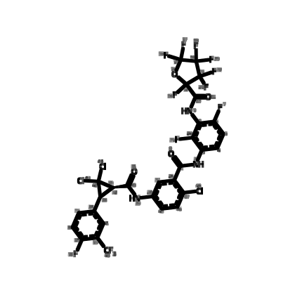 O=C(Nc1ccc(F)c(NC(=O)C2(F)OC(F)(F)C(F)(F)C2(F)F)c1F)c1cc(NC(=O)[C@H]2C(c3ccc(F)c(C(F)(F)F)c3)C2(Cl)Cl)ccc1Cl